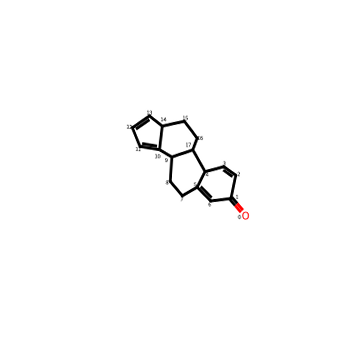 O=C1C=CC2C(=C1)CCC1C3=CC=CC3CCC21